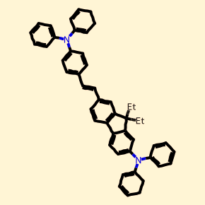 CCC1(CC)c2cc(/C=C/c3ccc(N(C4=CCCC=C4)c4ccccc4)cc3)ccc2-c2ccc(N(C3=CC=CCC3)c3ccccc3)cc21